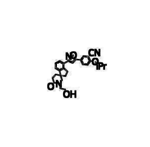 CC(C)Oc1ccc(-c2cc(-c3cccc4c3CC[C@@]43CCC(=O)N(CCO)C3)no2)cc1C#N